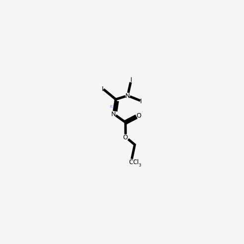 O=C(/N=C(/I)N(I)I)OCC(Cl)(Cl)Cl